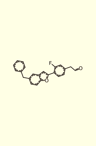 O=CCc1ccc(-c2cc3cc(Cc4ccccc4)ccc3o2)c(F)c1